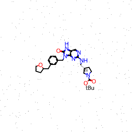 CC(C)(C)OC(=O)N1CC[C@@H](CNc2ncc3[nH]c(=O)n(Cc4cccc(CC5CCCO5)c4)c3n2)C1